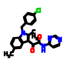 Cc1ccc2c(c1)c(C(=O)C(=O)Nc1ccncn1)c(C)n2Cc1ccc(Cl)cc1